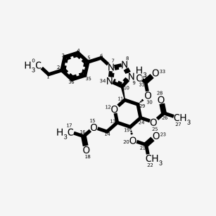 CCc1ccc(Cn2nnc([C@@H]3OC(COC(C)=O)[C@@H](OC(C)=O)C(OC(C)=O)[C@H]3OC(C)=O)n2)cc1